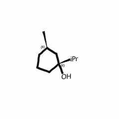 CC(C)[C@@]1(O)CCC[C@@H](C)C1